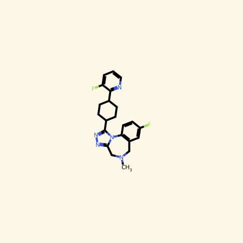 CN1Cc2cc(F)ccc2-n2c(nnc2C2CCC(c3ncccc3F)CC2)C1